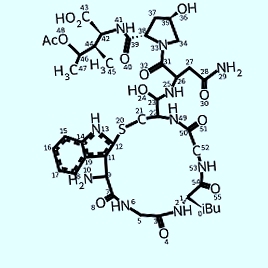 CC[C@H](C)[C@@H]1NC(=O)CNC(=O)C(N)c2c([nH]c3ccccc23)SCC(C(O)NC(CC(N)=O)C(=O)N2C[C@H](O)C[C@H]2C(=O)N[C@H](C(=O)O)[C@@H](C)C(C)OC(C)=O)NC(=O)CNC1=O